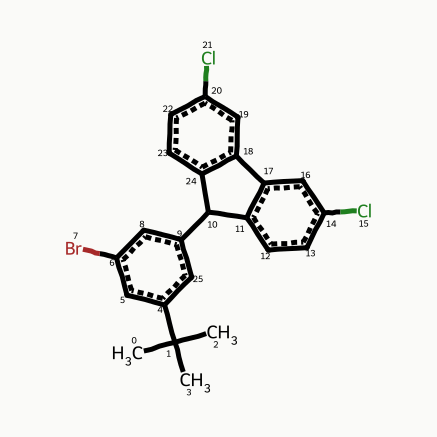 CC(C)(C)c1cc(Br)cc(C2c3ccc(Cl)cc3-c3cc(Cl)ccc32)c1